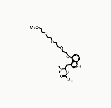 COCCOCCOCCOCCOc1cccc2[nH]cc(CC(OC(=O)C(F)(F)F)N(C)C)c12